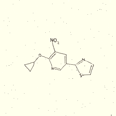 O=[N+]([O-])c1cc(-c2nccs2)cnc1OC1CC1